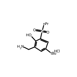 CCCS(=O)(=O)c1cc(C(C)(C)C)cc(CN)c1O.Cl